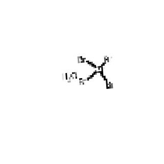 O.[Br][Zr]([Br])([Br])[Br]